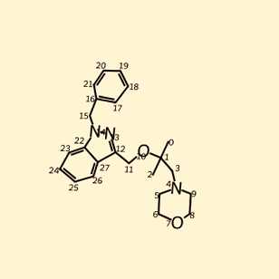 CC(C)(CN1CCOCC1)OCc1nn(Cc2ccccc2)c2ccccc12